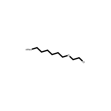 CCCCCCCCCCCCOCC[O]